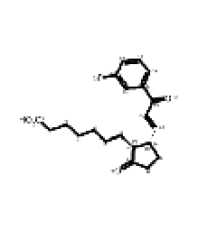 O=C(O)CCCCCC[C@@H]1C(=O)CC[C@H]1C=CC(=O)c1cccc(F)c1